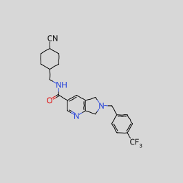 N#CC1CCC(CNC(=O)c2cnc3c(c2)CN(Cc2ccc(C(F)(F)F)cc2)C3)CC1